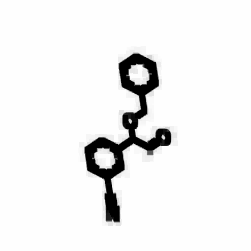 N#Cc1cccc(C([C]=O)OCc2ccccc2)c1